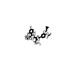 C[C@H](N)c1oc(-c2ccc(OC(F)F)c(OCC3CC3)c2)nc1C(=O)N[C@@H](C(=O)NS(C)(=O)=O)c1ccc(F)cc1F